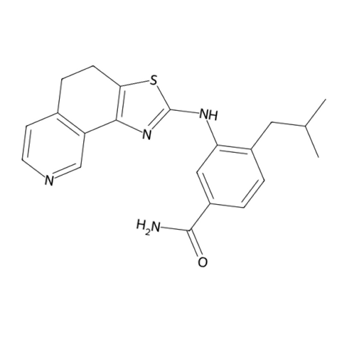 CC(C)Cc1ccc(C(N)=O)cc1Nc1nc2c(s1)CCc1ccncc1-2